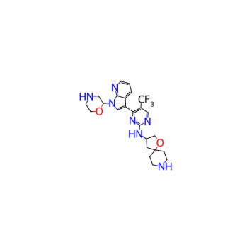 FC(F)(F)c1cnc(NC2COC3(CCNCC3)C2)nc1-c1cn(C2CNCCO2)c2ncccc12